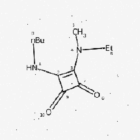 CCCCNc1c(N(C)CC)c(=O)c1=O